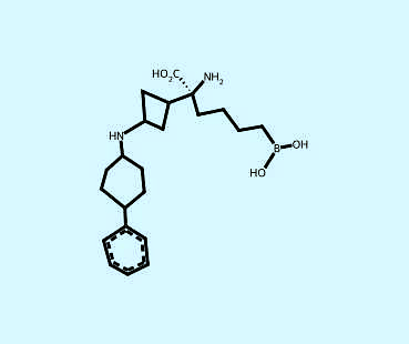 N[C@](CCCCB(O)O)(C(=O)O)C1CC(NC2CCC(c3ccccc3)CC2)C1